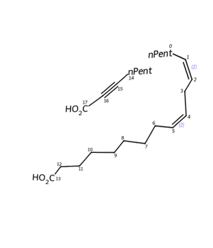 CCCCC/C=C\C/C=C\CCCCCCCC(=O)O.CCCCCC#CC(=O)O